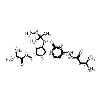 COC(C)(C)O[C@@H]1C[C@@H](COC(=O)[C@H](C)N)O[C@H]1n1ccc(NOC(=O)CC(C)C)nc1=O